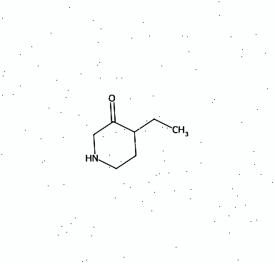 CCC1CCNCC1=O